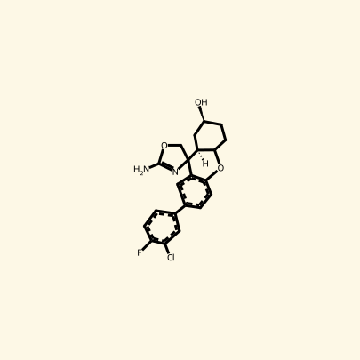 NC1=NC2(CO1)c1cc(-c3ccc(F)c(Cl)c3)ccc1OC1CC[C@H](O)C[C@@H]12